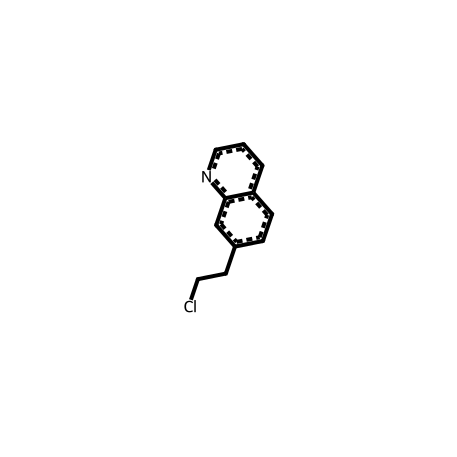 ClCCc1ccc2cccnc2c1